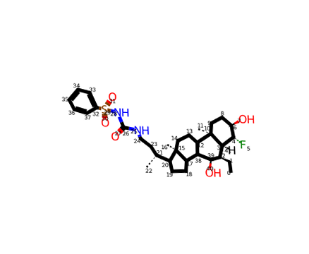 CC[C@@H]1[C@@H]2[C@@H](F)[C@H](O)CC[C@]2(C)C2CC[C@@]3(C)C(CCC3[C@H](C)CCNC(=O)NS(=O)(=O)c3ccccc3)C2[C@@H]1O